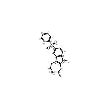 CC1Cc2c(c3cc(S(=O)(=O)c4ccccc4)ccc3n2C)CCN1